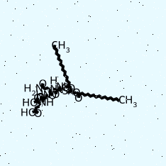 CCCCCCCCCCCCCCCC(=O)OC[C@H](CSCC(N)C(=O)N[C@H](CCC(N)=O)C(=O)NCC(=O)N[C@@H](CCC(=O)O)C(=O)O)OC(=O)CCCCCCCCCCCCCCC